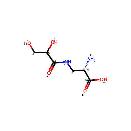 N[C@@H](CNC(=O)C(O)CO)C(=O)O